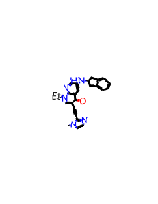 CCn1cc(C#Cc2nccn2C)c(=O)c2cc(NC3Cc4ccccc4C3)cnc21